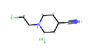 Cl.N#CC1CCN(CCCl)CC1